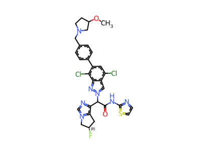 COC1CCN(Cc2ccc(-c3cc(Cl)c4cn(C(C(=O)Nc5nccs5)c5ncn6c5C[C@@H](F)C6)nc4c3Cl)cc2)C1